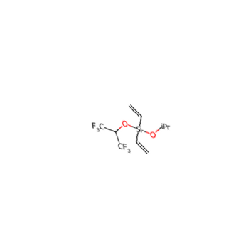 C=C[Si](C=C)(OC(C)C)OC(C(F)(F)F)C(F)(F)F